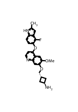 COc1cc2c(Oc3ccc4[nH]c(C)cc4c3F)ccnc2cc1OC[C@H]1C[C@H](N)C1